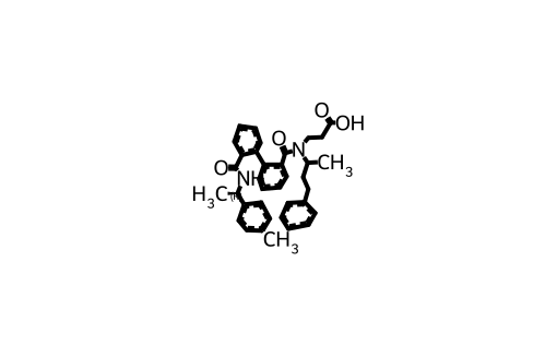 Cc1ccc([C@@H](C)NC(=O)c2ccccc2-c2ccccc2C(=O)N(CCC(=O)O)C(C)CCc2ccccc2)cc1